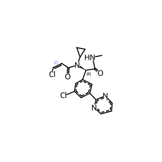 CNC(=O)[C@@H](c1cc(Cl)cc(-c2ncccn2)c1)N(C(=O)/C=C\Cl)C1CC1